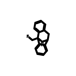 FCC12NC(Cc3ccccc31)c1ccccc12